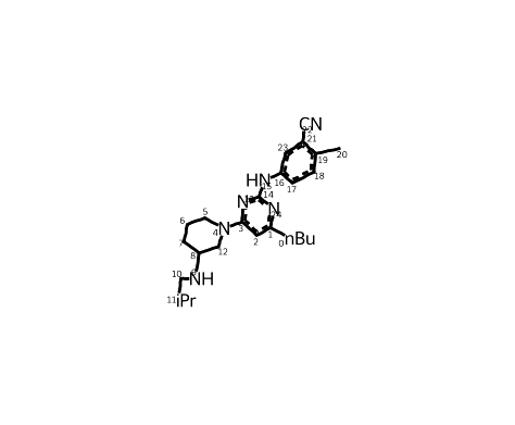 CCCCc1cc(N2CCCC(NCC(C)C)C2)nc(Nc2ccc(C)c(C#N)c2)n1